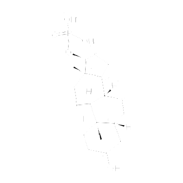 C[C@]12CCC(O)C[C@H]1CC[C@@H]1[C@@H]2CC[C@]2(C)[C@@H](OP(=O)(O)O)CC[C@@H]12